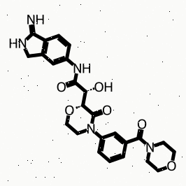 N=C1NCc2cc(NC(=O)[C@H](O)[C@H]3OCCN(c4cccc(C(=O)N5CCOCC5)c4)C3=O)ccc21